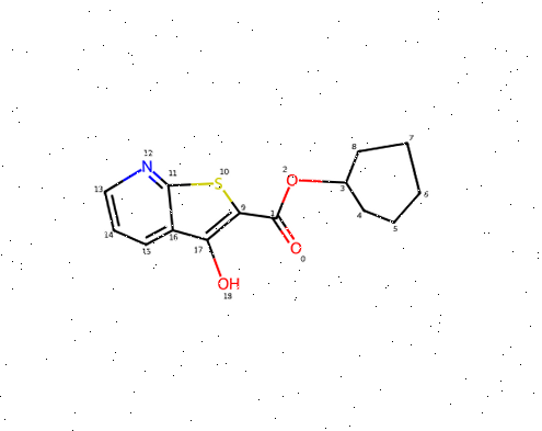 O=C(OC1CCCCC1)c1sc2ncccc2c1O